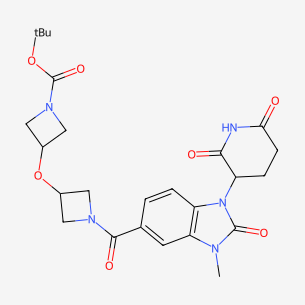 Cn1c(=O)n(C2CCC(=O)NC2=O)c2ccc(C(=O)N3CC(OC4CN(C(=O)OC(C)(C)C)C4)C3)cc21